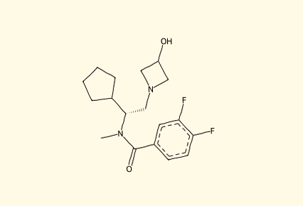 CN(C(=O)c1ccc(F)c(F)c1)[C@@H](CN1CC(O)C1)C1CCCC1